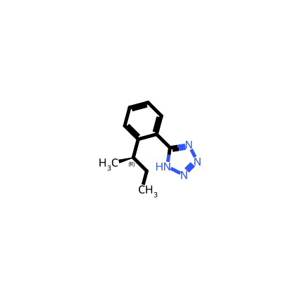 CC[C@@H](C)c1ccccc1-c1nnn[nH]1